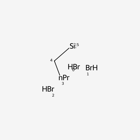 Br.Br.Br.CCCC[Si]